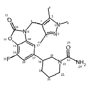 Cc1nn(C)c(C)c1Cn1c(=O)oc2c(F)cc(C3CCCN(C(N)=O)C3)cc21